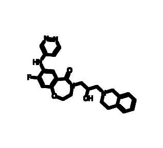 O=C1c2cc(Nc3ccnnc3)c(F)cc2OCCN1CC(O)CN1CCc2ccccc2C1